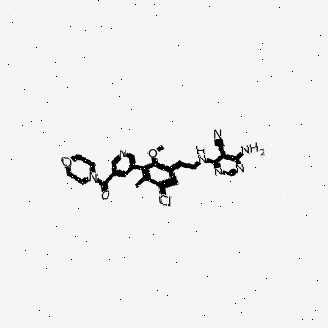 COc1c(CCNc2ncnc(N)c2C#N)cc(Cl)c(C)c1-c1cncc(C(=O)N2CCOCC2)c1